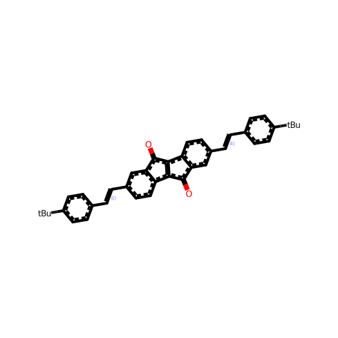 CC(C)(C)c1ccc(/C=C/c2ccc3c4c(=O)c5cc(/C=C/c6ccc(C(C)(C)C)cc6)ccc5c=4c(=O)c3c2)cc1